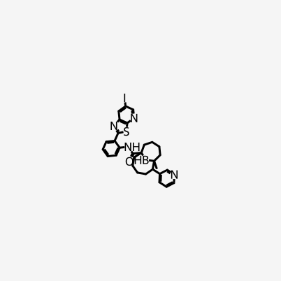 CC12BC(C(=O)Nc3ccccc3-c3nc4cc(I)cnc4s3)(CCCCC1c1cccnc1)CCCC2